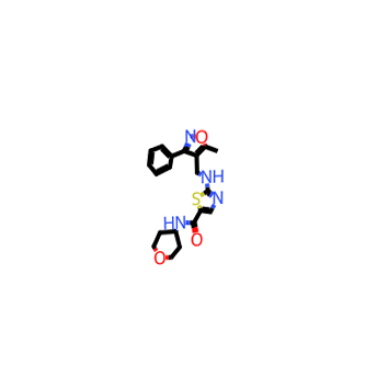 Cc1onc(-c2ccccc2)c1CNc1ncc(C(=O)NC2CCOCC2)s1